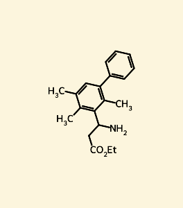 CCOC(=O)CC(N)c1c(C)c(C)cc(-c2ccccc2)c1C